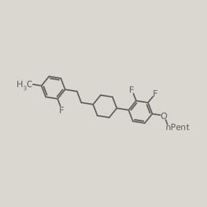 CCCCCOc1ccc(C2CCC(CCc3ccc(C)cc3F)CC2)c(F)c1F